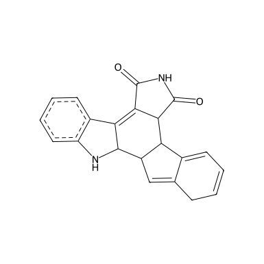 O=C1NC(=O)C2C1=C1c3ccccc3NC1C1C=C3CC=CC=C3C21